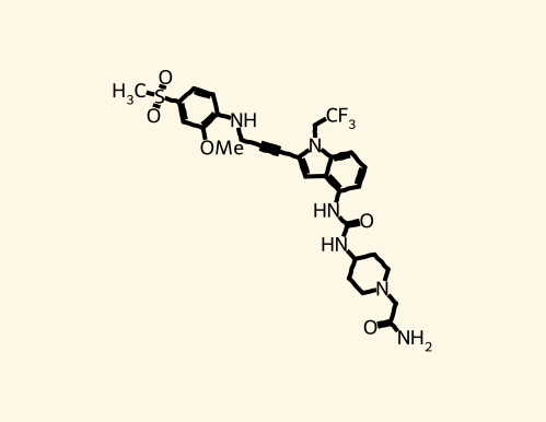 COc1cc(S(C)(=O)=O)ccc1NCC#Cc1cc2c(NC(=O)NC3CCN(CC(N)=O)CC3)cccc2n1CC(F)(F)F